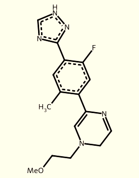 COCCN1C=C(c2cc(F)c(-c3nc[nH]n3)cc2C)N=CC1